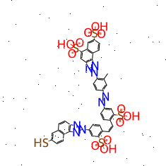 Cc1cc(N=Nc2ccc(/C=C\c3ccc(-n4n5c6ccc7cc(S)ccc7c6n45)cc3S(=O)(=O)O)c(S(=O)(=O)O)c2)ccc1-n1n2c3cc(S(=O)(=O)O)c4cc(S(=O)(=O)O)ccc4c3n12